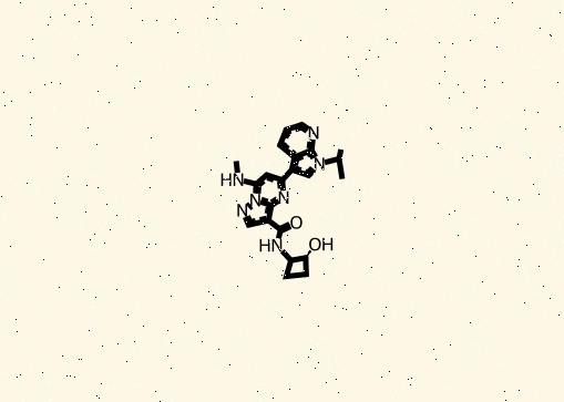 CNc1cc(-c2cn(C(C)C)c3ncccc23)nc2c(C(=O)NC3CC[C@H]3O)cnn12